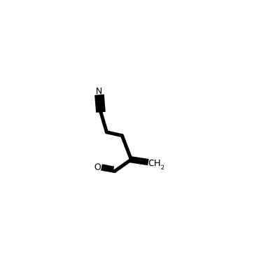 C=C(C=O)CCC#N